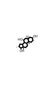 C[C@@H]1CC2C3C(CC[C@]2(C)[C@H]1O)[C@@]1(C)CC[C@@H](O)C[C@H]1C[C@H]3O